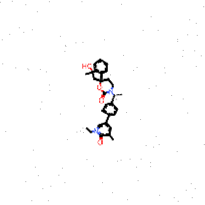 CCn1cc(-c2ccc([C@H](C)N3CCC(CC(C)(C)O)(c4ccccc4)OC3=O)cc2)cc(C)c1=O